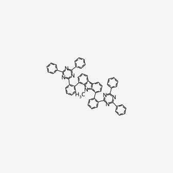 Cn1c2c(-c3ccccc3-c3nc(-c4ccccc4)nc(-c4ccccc4)n3)cccc2c2cccc(-c3ccccc3-c3nc(-c4ccccc4)nc(-c4ccccc4)n3)c21